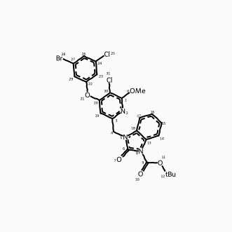 COc1nc(Cn2c(=O)n(C(=O)OC(C)(C)C)c3ccccc32)cc(Oc2cc(Cl)cc(Br)c2)c1Cl